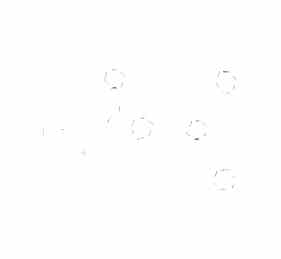 O=C(Oc1ccc([C@H]2Oc3cc(OCc4ccccc4)cc(OCc4ccccc4)c3C[C@@H]2O)cc1OCc1ccccc1)[C@H]1O[C@@H](O)[C@H](O)[C@@H](O)[C@@H]1O